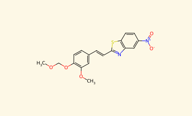 COCOc1ccc(C=Cc2nc3cc([N+](=O)[O-])ccc3s2)cc1OC